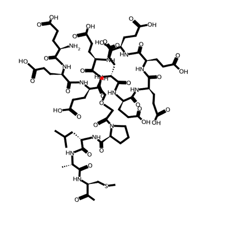 CSC[C@H](NC(=O)[C@H](C)NC(=O)[C@H](CC(C)C)NC(=O)[C@@H]1CCCN1C(=O)COCCNC(=O)[C@@H](CCC(=O)O)NC(=O)[C@@H](CCC(=O)O)NC(=O)[C@@H](CCC(=O)O)NC(=O)[C@@H](CCC(=O)O)NC(=O)[C@@H](CCC(=O)O)NC(=O)[C@@H](CCC(=O)O)NC(=O)[C@@H](CCC(=O)O)NC(=O)[C@@H](CCC(=O)O)NC(=O)[C@H](N)CCC(=O)O)C(C)=O